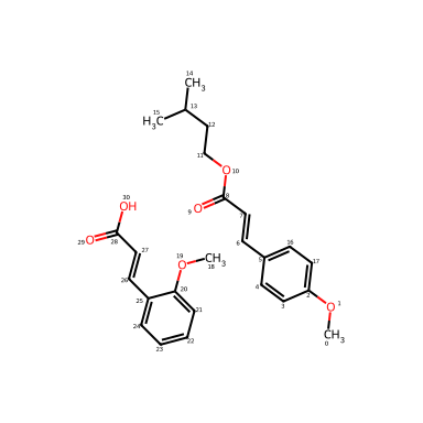 COc1ccc(C=CC(=O)OCCC(C)C)cc1.COc1ccccc1/C=C/C(=O)O